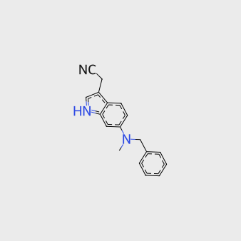 CN(Cc1ccccc1)c1ccc2c(CC#N)c[nH]c2c1